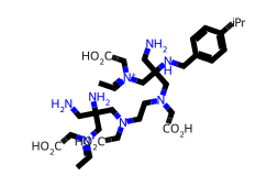 C/C=[N+](\CC(=O)O)CC(N)(CN)CN(CCN(CC(=O)O)CC(CN)(C/[N+](=C/C)CC(=O)O)NCc1ccc(C(C)C)cc1)CC(=O)O